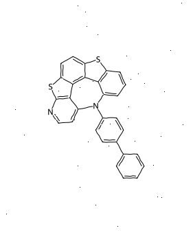 c1ccc(-c2ccc(-n3c4cccc5sc6ccc7sc8nccc3c8c7c6c54)cc2)cc1